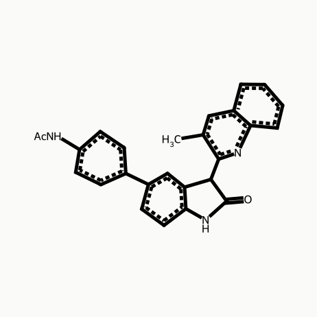 CC(=O)Nc1ccc(-c2ccc3c(c2)C(c2nc4ccccc4cc2C)C(=O)N3)cc1